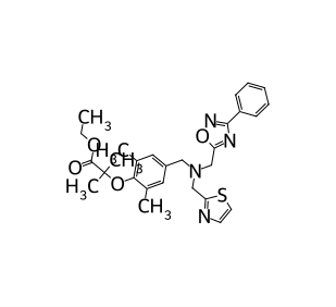 CCOC(=O)C(C)(C)Oc1c(C)cc(CN(Cc2nc(-c3ccccc3)no2)Cc2nccs2)cc1C